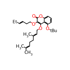 CC/C=C/CCOc1c(OC/C=C(\C)CCC=C(C)C)c2c(OC(C)(C)C)cccc2oc1=O